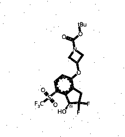 CC(C)(C)OC(=O)N1CC(Oc2ccc(S(=O)(=O)C(F)(F)F)c3c2CC(F)(F)[C@H]3O)C1